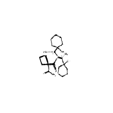 CC(C)(C)[C@@H](N(C(=O)C1(C(N)=O)CCC1)[C@H](C(C)(C)C)C1(O)CCCCC1)C1(O)CCCCC1